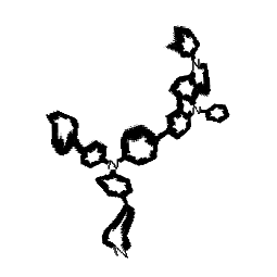 c1ccc(-c2ccc(N(c3ccc(-c4ccncc4)cc3)c3ccc(-c4ccc5c(c4)c4ccc6c(ccn6-c6ccccc6)c4n5-c4ccccc4)cc3)cc2)cc1